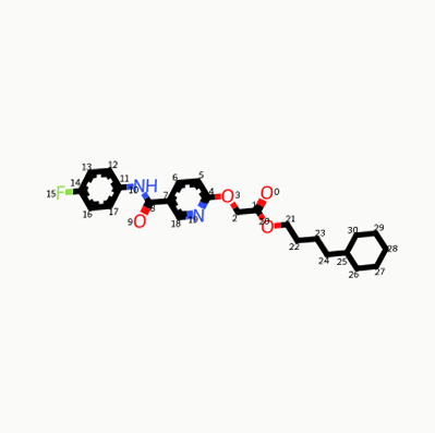 O=C(COc1ccc(C(=O)Nc2ccc(F)cc2)cn1)OCCCCC1CCCCC1